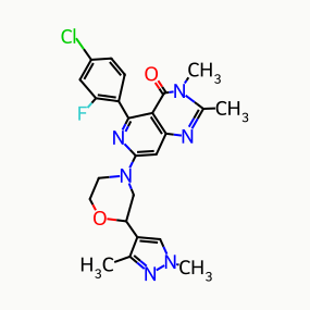 Cc1nn(C)cc1C1CN(c2cc3nc(C)n(C)c(=O)c3c(-c3ccc(Cl)cc3F)n2)CCO1